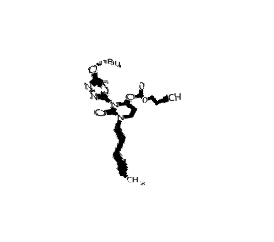 C#CCCOC(=O)OC1CCN(CCCC#CC)C(=O)N1c1nnc(OCCCC)s1